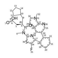 CN(C(=O)[C@@H](CC(=O)O)CC1CCCC1)c1nc(-c2ccccc2-c2cnc3c(ccn3C)c2)c(F)s1